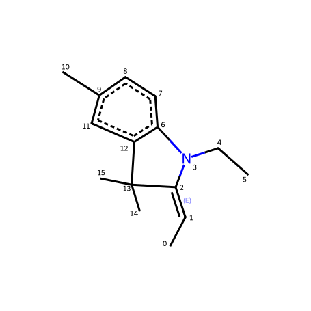 C/C=C1/N(CC)c2ccc(C)cc2C1(C)C